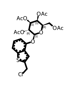 CC(=O)OC[C@H]1O[C@@H](Oc2cccc3sc(CCl)cc23)[C@H](OC(C)=O)[C@@H](OC(C)=O)[C@H]1OC(C)=O